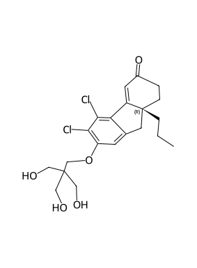 CCC[C@]12CCC(=O)C=C1c1c(cc(OCC(CO)(CO)CO)c(Cl)c1Cl)C2